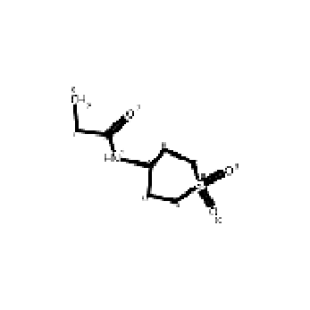 CCC(=O)NC1CCS(=O)(=O)CC1